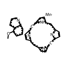 C1=Cc2cc3ccc(cc4nc(cc5ccc(cc1n2)[nH]5)C=C4)[nH]3.COc1cccc2ncccc12.[Mn]